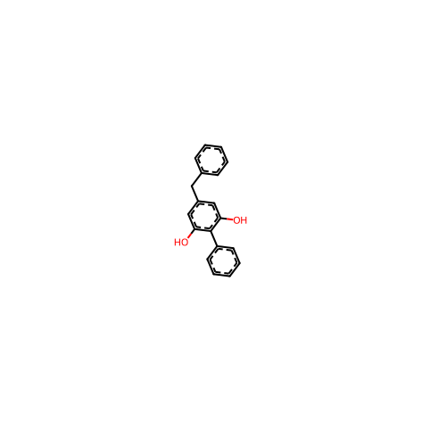 Oc1cc(Cc2ccccc2)cc(O)c1-c1ccccc1